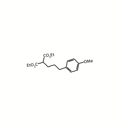 CCOC(=O)C(CCCc1ccc(OC)cc1)C(=O)OCC